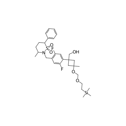 CC1CCC(c2ccccc2)S(=O)(=O)N1Cc1cc(F)c(C2(CO)CC(C)(OCOCC[Si](C)(C)C)C2)cc1F